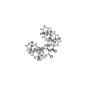 N=C(NC1C(C=O)CC[C@@H]2CC[C@H]3[C@@H]4CCC[C@H]4CC[C@@H]3[C@@H]12)NC1C(C=O)CC[C@@H]2CC[C@H]3[C@@H]4CCC[C@H]4CC[C@@H]3[C@@H]12